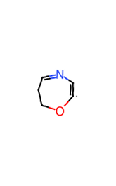 [C]1=CN=CCCO1